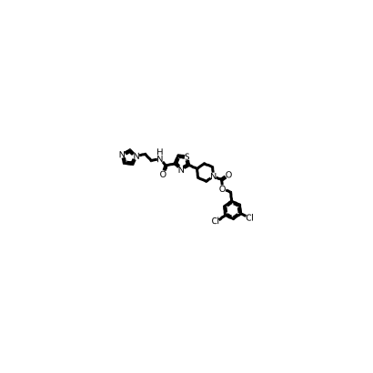 O=C(NCCn1ccnc1)c1csc(C2CCN(C(=O)OCc3cc(Cl)cc(Cl)c3)CC2)n1